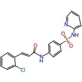 O=C(/C=C/c1ccccc1Cl)Nc1ccc(S(=O)(=O)Nc2ccccn2)cc1